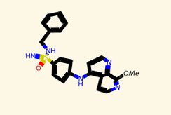 COc1nccc2c(Nc3ccc(S(=N)(=O)NCc4ccccc4)cc3)ccnc12